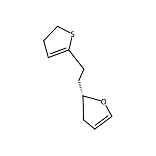 C1=CO[C@@H](CCC2=CCCS2)C1